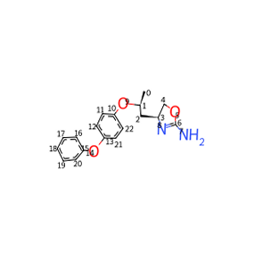 C[C@@H](C[C@H]1COC(N)=N1)Oc1ccc(Oc2ccccc2)cc1